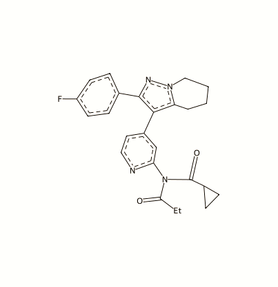 CCC(=O)N(C(=O)C1CC1)c1cc(-c2c(-c3ccc(F)cc3)nn3c2CCCC3)ccn1